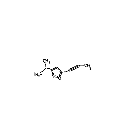 CC#Cc1cc(C(C)C)no1